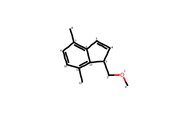 COCC1C=Cc2c(C)ccc(C)c21